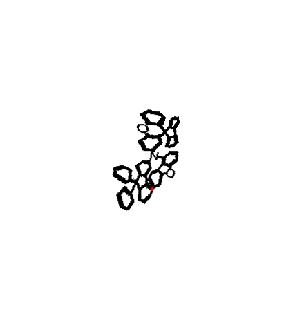 c1ccc(C2(c3ccccc3)c3ccccc3-c3cc(N(c4ccc5c(c4)C4(c6ccccc6O5)c5ccccc5-c5ccccc54)c4cccc5oc6ccccc6c45)ccc32)cc1